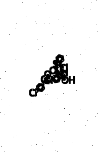 O=C(O)c1ccc(N2C[C@@H](c3ccc(Cl)cc3)OC2=O)cc1NC(=O)c1sc2ccccc2c1Cl